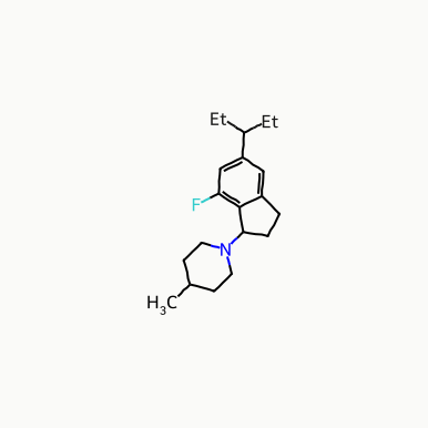 CCC(CC)c1cc(F)c2c(c1)CCC2N1CCC(C)CC1